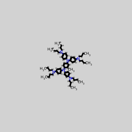 CCCCN(CCCC)c1ccc([N+](=C2C=CC(=[N+](c3ccc(N(CCCC)CCCC)cc3)c3ccc(N(CCCC)CCCC)cc3)C(C)=C2)c2ccc(N(CCCC)CCCC)cc2)cc1